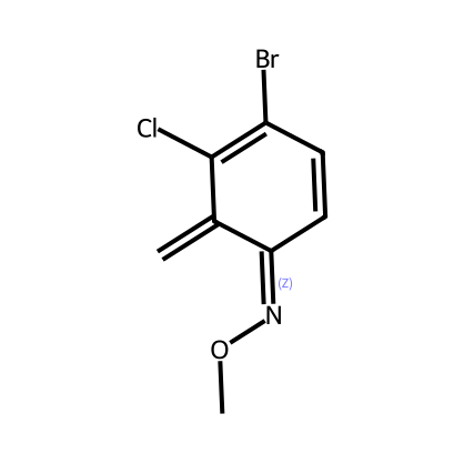 C=C1C(Cl)=C(Br)C=C/C1=N/OC